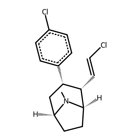 CN1[C@H]2CC[C@@H]1[C@@H](/C=C/Cl)[C@@H](c1ccc(Cl)cc1)C2